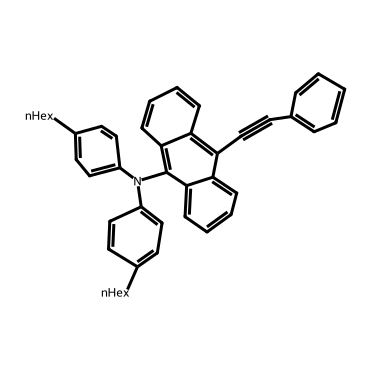 CCCCCCc1ccc(N(c2ccc(CCCCCC)cc2)c2c3ccccc3c(C#Cc3ccccc3)c3ccccc23)cc1